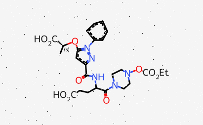 CCOC(=O)ON1CCN(C(=O)C(CCC(=O)O)NC(=O)c2cc(O[C@@H](C)C(=O)O)n(-c3ccccc3)n2)CC1